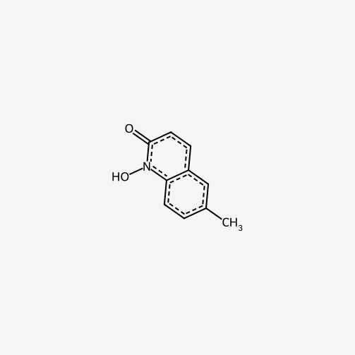 Cc1ccc2c(ccc(=O)n2O)c1